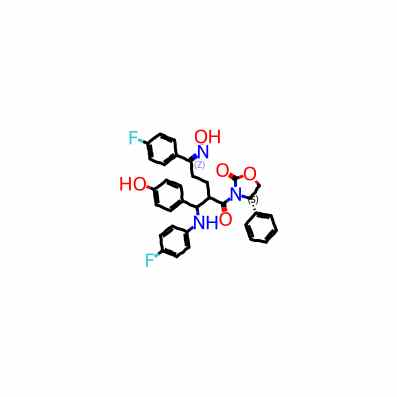 O=C1OC[C@H](c2ccccc2)N1C(=O)C(CC/C(=N/O)c1ccc(F)cc1)C(Nc1ccc(F)cc1)c1ccc(O)cc1